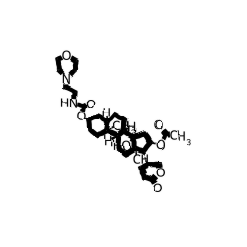 CC(=O)O[C@H]1C[C@]2(O)[C@@H]3CC[C@@H]4C[C@@H](OC(=O)NCCN5CCOCC5)CC[C@]4(C)[C@H]3CC[C@]2(C)[C@H]1c1ccc(=O)oc1